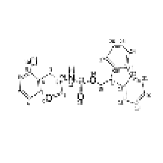 O=C[C@H](Cc1ccccc1Cl)NC(=O)OCC1c2ccccc2-c2ccccc21